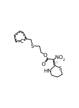 O=C(OCCSCc1ccccc1)/C(=C1\NCCCS1)[N+](=O)[O-]